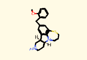 COc1ccccc1Cc1cc2c3c(c1)[C@@H]1CNCC[C@@H]1N3CCCS2